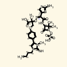 Cn1c(-c2ccc(OCC(C)(O/N=C(\C(=O)NC3C(=O)N(OS(=O)(=O)O)C3(C)C)c3csc(N)n3)C(=O)O)cc2)cn(CCCN)c1=N